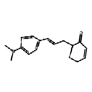 CN(C)c1ccc(C=CCC2CCC=CC2=O)cc1